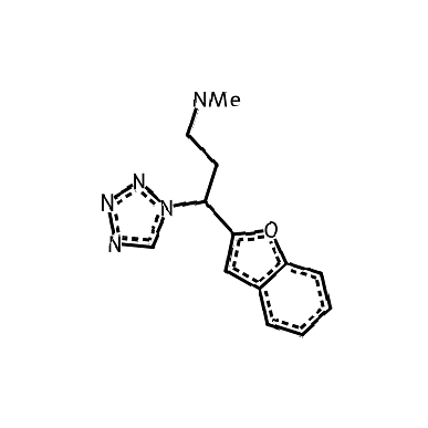 CNCCC(c1cc2ccccc2o1)n1cnnn1